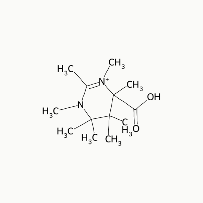 CC1=[N+](C)C(C)(C(=O)O)C(C)(C)C(C)(C)N1C